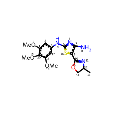 COc1cc(Nc2nc(N)c(C3=NC(C)CO3)s2)cc(OC)c1OC